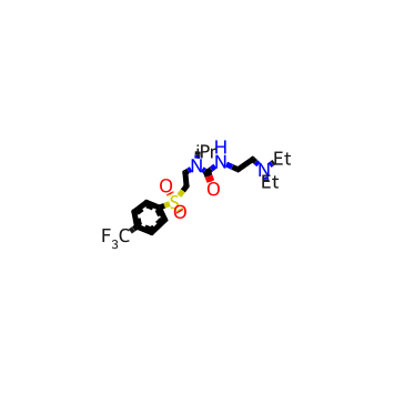 CCN(CC)CCNC(=O)N(CCS(=O)(=O)c1ccc(C(F)(F)F)cc1)C(C)C